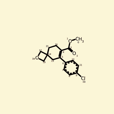 COC(=O)C1=C(c2ccc(Cl)cc2)CC2(CC1)COC2